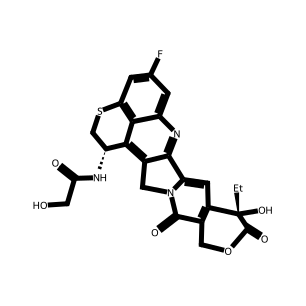 CC[C@@]1(O)C(=O)OCc2c1cc1n(c2=O)Cc2c-1nc1cc(F)cc3c1c2[C@H](NC(=O)CO)CS3